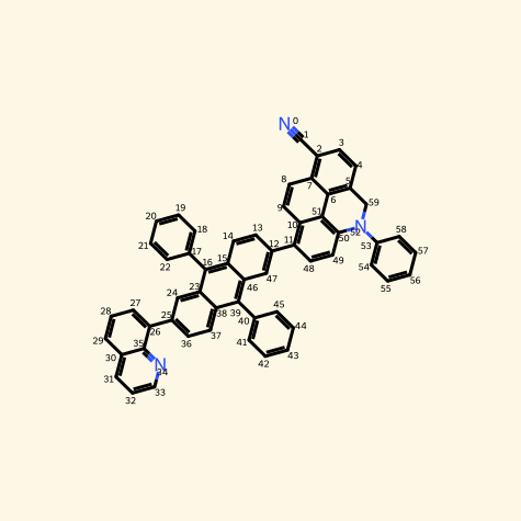 N#Cc1ccc2c3c1ccc1c(-c4ccc5c(-c6ccccc6)c6cc(-c7cccc8cccnc78)ccc6c(-c6ccccc6)c5c4)ccc(c13)N(c1ccccc1)C2